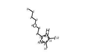 CCCCOCCc1nc(C)c(I)[nH]1